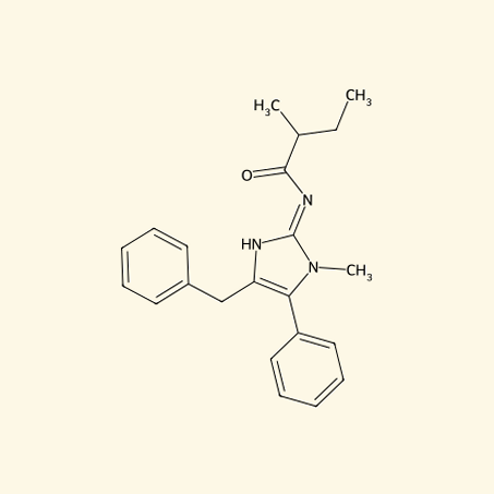 CCC(C)C(=O)/N=c1\[nH]c(Cc2ccccc2)c(-c2ccccc2)n1C